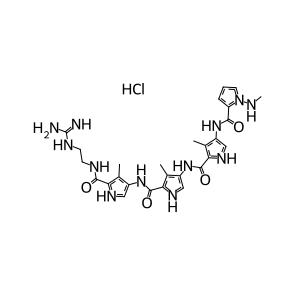 CNn1cccc1C(=O)Nc1c[nH]c(C(=O)Nc2c[nH]c(C(=O)Nc3c[nH]c(C(=O)NCCNC(=N)N)c3C)c2C)c1C.Cl